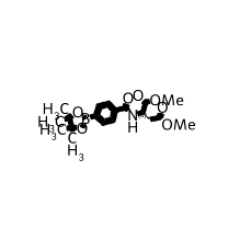 COC(=O)C[C@H](NC(=O)c1ccc(B2OC(C)(C)C(C)(C)O2)cc1)C(=O)OC